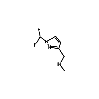 CNCc1ccn(C(F)F)n1